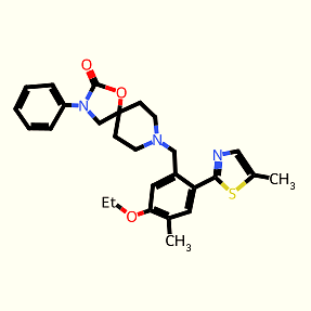 CCOc1cc(CN2CCC3(CC2)CN(c2ccccc2)C(=O)O3)c(-c2ncc(C)s2)cc1C